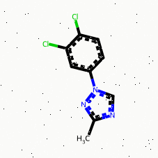 Cc1ncn(-c2ccc(Cl)c(Cl)c2)n1